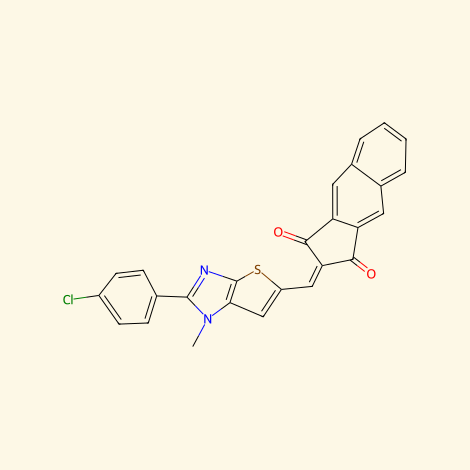 Cn1c(-c2ccc(Cl)cc2)nc2sc(C=C3C(=O)c4cc5ccccc5cc4C3=O)cc21